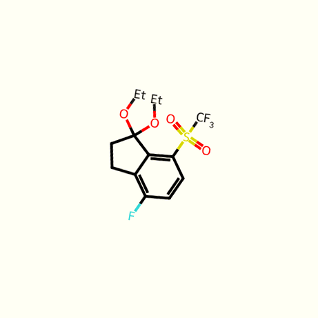 CCOC1(OCC)CCc2c(F)ccc(S(=O)(=O)C(F)(F)F)c21